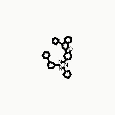 c1ccc(-c2cccc(-c3nc(-c4ccccc4)nc(-c4ccc5oc6c7ccccc7c(-c7ccccc7)cc6c5c4)n3)c2)cc1